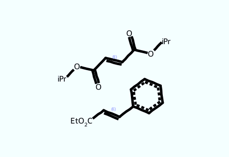 CC(C)OC(=O)/C=C/C(=O)OC(C)C.CCOC(=O)/C=C/c1ccccc1